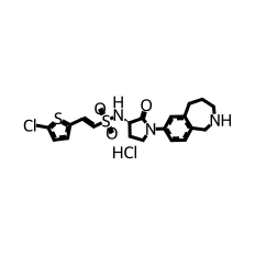 Cl.O=C1[C@@H](NS(=O)(=O)/C=C/c2ccc(Cl)s2)CCN1c1ccc2c(c1)CCCNC2